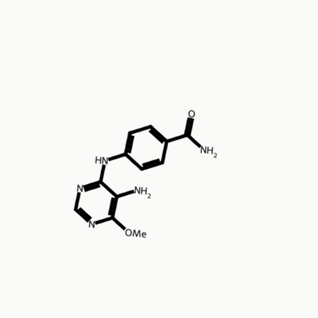 COc1ncnc(Nc2ccc(C(N)=O)cc2)c1N